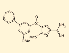 COc1cc(-c2ccccc2)cc([S+]([O-])c2cc(C(=N)N)sc2SC)c1